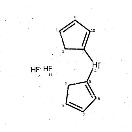 C1=CC[C]([Hf][C]2=CC=CC2)=C1.F.F